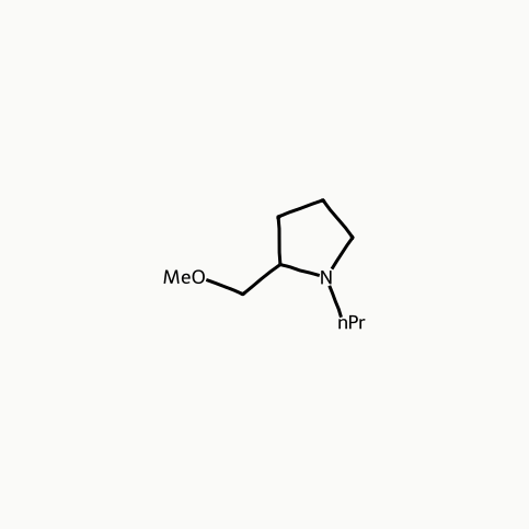 CCCN1CCCC1COC